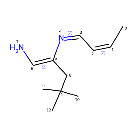 C\C=C/C=N\C(=C/N)CC(C)(C)C